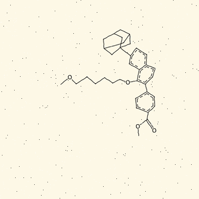 COCCCCCCOc1c(-c2ccc(C(=O)OC)cc2)ccc2ccc(C34CC5CC(CC(C5)C3)C4)cc12